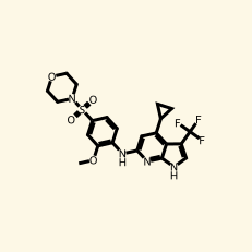 COc1cc(S(=O)(=O)N2CCOCC2)ccc1Nc1cc(C2CC2)c2c(C(F)(F)F)c[nH]c2n1